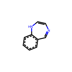 [c]1ccc2c(c1)NC=CN=C2